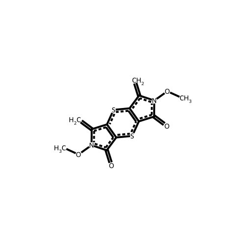 C=c1c2sc3c(=C)n(OC)c(=O)c=3sc=2c(=O)n1OC